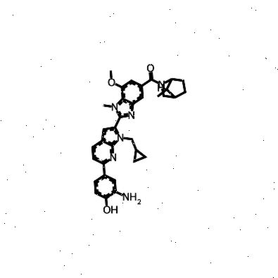 COc1cc(C(=O)N2CC3CCC2[C@@H]3C)cc2nc(-c3cc4ccc(-c5ccc(O)c(N)c5)nc4n3CC3CC3)n(C)c12